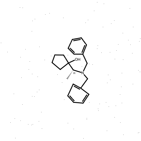 C[C@@H](N(Cc1ccccc1)Cc1ccccc1)C1(O)CCCC1